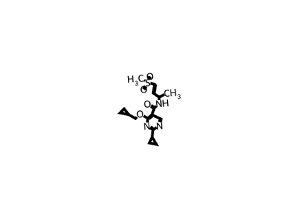 CC(/C=C/S(C)(=O)=O)NC(=O)c1cnc(C2CC2)nc1OCC1CC1